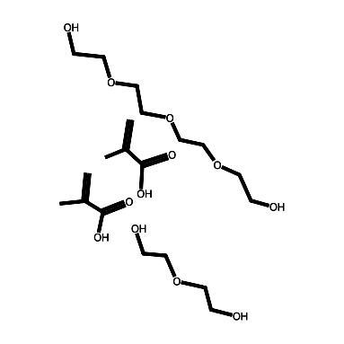 C=C(C)C(=O)O.C=C(C)C(=O)O.OCCOCCO.OCCOCCOCCOCCO